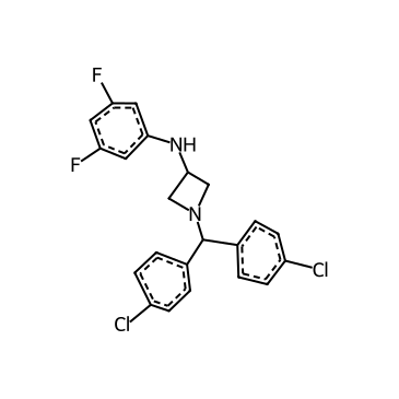 Fc1cc(F)cc(NC2CN(C(c3ccc(Cl)cc3)c3ccc(Cl)cc3)C2)c1